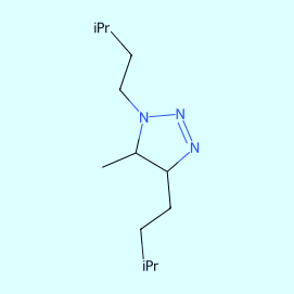 CC(C)CCC1N=NN(CCC(C)C)C1C